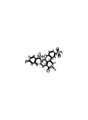 COc1ccc(S(C)(=O)=O)cc1-c1cn(C)c(=O)c2c1CN([C@@H](C)c1ccc(F)cc1F)CC2